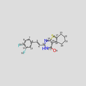 O=c1[nH]c(C=Cc2ccc(F)c(F)c2)nc2sc3c(c12)CCCC3